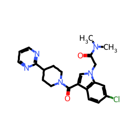 CN(C)C(=O)Cn1cc(C(=O)N2CCC(c3ncccn3)CC2)c2ccc(Cl)cc21